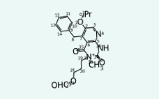 CC(C)Oc1cnc2c(c1Cc1ccccc1)C(=O)[N+](C)(CCCOC=O)C(=O)N2